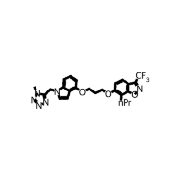 CCCc1c(OCCCOc2cccc3c2ccn3Cc2nnnn2C)ccc2c(C(F)(F)F)noc12